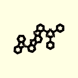 c1ccc(-c2nc(-c3ccccc3)nc(-c3cccc4sc5c(ccc6c7cccc(-n8c9ccccc9c9ccccc98)c7sc65)c34)n2)cc1